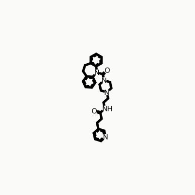 O=C(CCc1cccnc1)NCCN1CCN(C(=O)N2c3ccccc3CCc3ccccc32)CC1